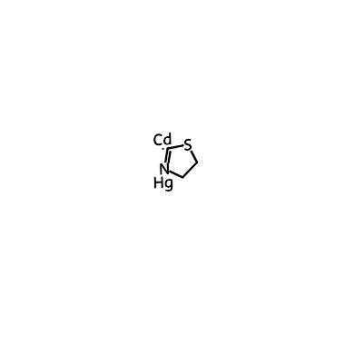 [C]1=NCCS1.[Cd].[Hg]